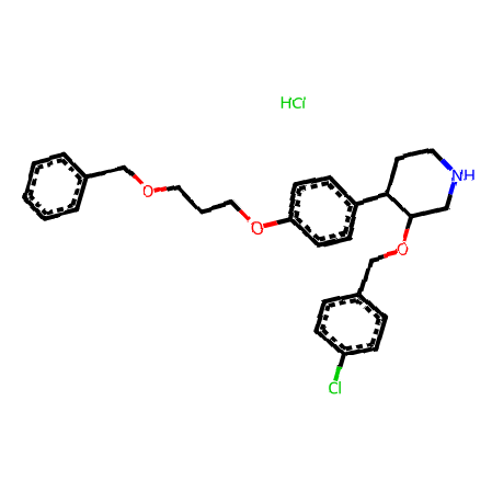 Cl.Clc1ccc(COC2CNCCC2c2ccc(OCCCOCc3ccccc3)cc2)cc1